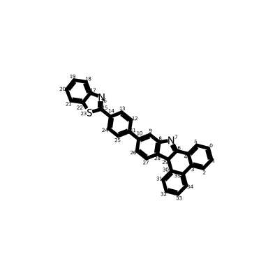 c1ccc2c(c1)C1=Nc3cc(-c4ccc(-c5nc6ccccc6s5)cc4)ccc3C1c1ccccc1-2